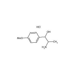 COc1ccc(C(O)C(C)N)cc1.Cl